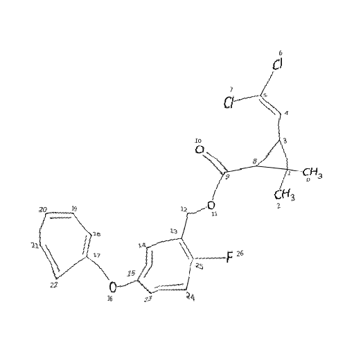 CC1(C)C(C=C(Cl)Cl)C1C(=O)OCc1cc(Oc2ccccc2)ccc1F